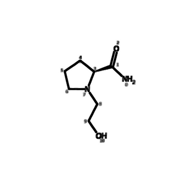 NC(=O)[C@@H]1[CH]CCN1CCO